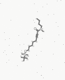 CCCCN(C)C(=O)C#CCCCCCO[Si](C)(C)C(C)(C)C